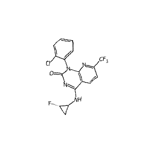 O=c1nc(NC2C[C@@H]2F)c2ccc(C(F)(F)F)nc2n1-c1ccccc1Cl